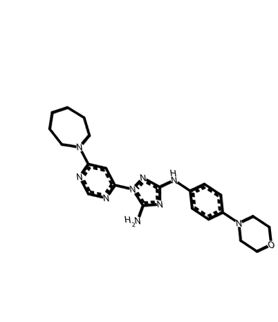 Nc1nc(Nc2ccc(N3CCOCC3)cc2)nn1-c1cc(N2CCCCCC2)ncn1